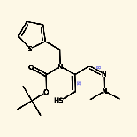 CN(C)/N=C\C(=C\S)N(Cc1cccs1)C(=O)OC(C)(C)C